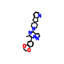 Cc1nc(N2CCC3(CC2)Cc2cccnc2C3)c2ccnn2c1-c1ccc2c(c1)OCCO2